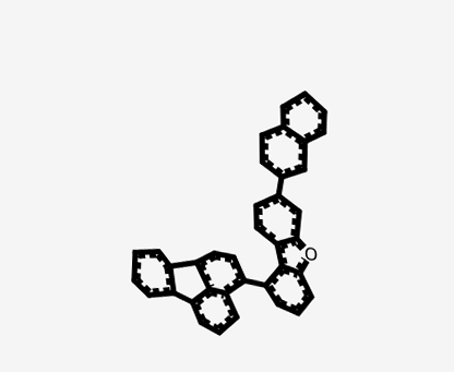 c1ccc2c(c1)-c1cccc3c(-c4cccc5oc6cc(-c7ccc8ccccc8c7)ccc6c45)ccc-2c13